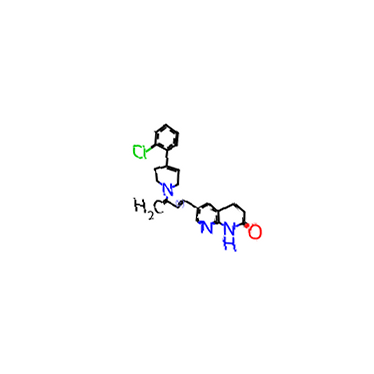 C=C(/C=C/c1cnc2c(c1)CCC(=O)N2)N1CC=C(c2ccccc2Cl)CC1